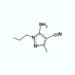 CCCn1nc(C)c(C#N)c1N